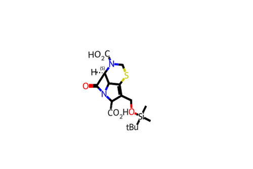 CC(C)(C)[Si](C)(C)OCC1=C2SCN(C(=O)O)[C@@H]3C(=O)N(C1C(=O)O)C23